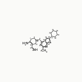 Cc1nc(CN2CCC(N)=C(C=N)C2)c2cc(C3CCCCC3)sc2n1